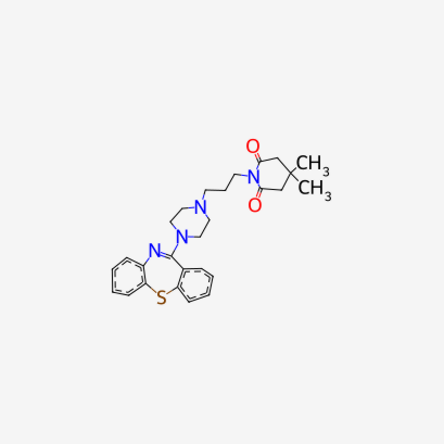 CC1(C)CC(=O)N(CCCN2CCN(C3=Nc4ccccc4Sc4ccccc43)CC2)C(=O)C1